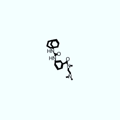 CN(C)CCN(C)C(=O)c1cccc(NC(=O)NC23CC=C=C(CCC2)C3)c1